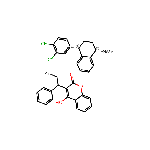 CC(=O)CC(c1ccccc1)c1c(O)c2ccccc2oc1=O.CN[C@H]1CC[C@@H](c2ccc(Cl)c(Cl)c2)c2ccccc21